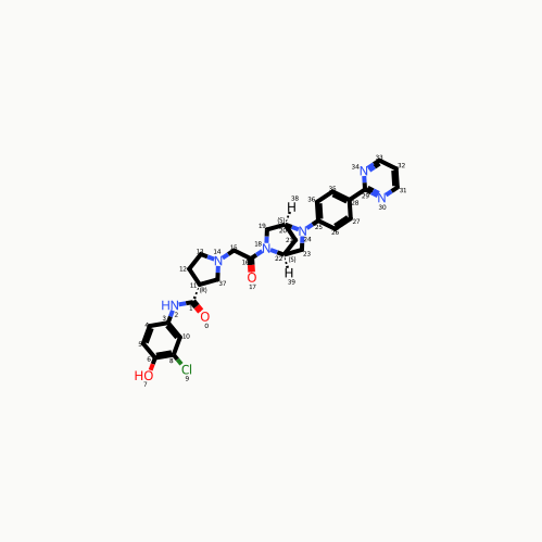 O=C(Nc1ccc(O)c(Cl)c1)[C@@H]1CCN(CC(=O)N2C[C@@H]3C[C@H]2CN3c2ccc(-c3ncccn3)cc2)C1